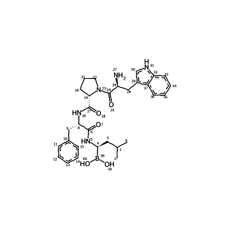 CC(C)C[C@H](NC(=O)[C@H](Cc1ccccc1)NC(=O)[C@@H]1CCCN1C(=O)[C@@H](N)Cc1c[nH]c2ccccc12)B(O)O